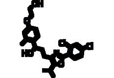 Cc1cc(OCCO)ccc1C(O)CCc1nc(-c2ccc(Cl)cc2Cl)oc1C(C)C